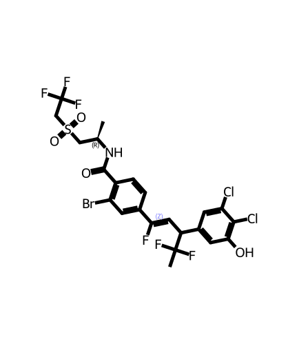 C[C@H](CS(=O)(=O)CC(F)(F)F)NC(=O)c1ccc(/C(F)=C/C(c2cc(O)c(Cl)c(Cl)c2)C(C)(F)F)cc1Br